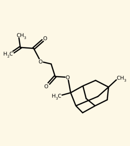 C=C(C)C(=O)OCC(=O)OC1(C)C2CC3CC1CC(C)(C3)C2